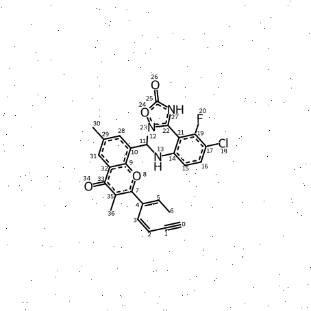 C#C/C=C\C(=C/C)c1oc2c(C(C)Nc3ccc(Cl)c(F)c3-c3noc(=O)[nH]3)cc(C)cc2c(=O)c1C